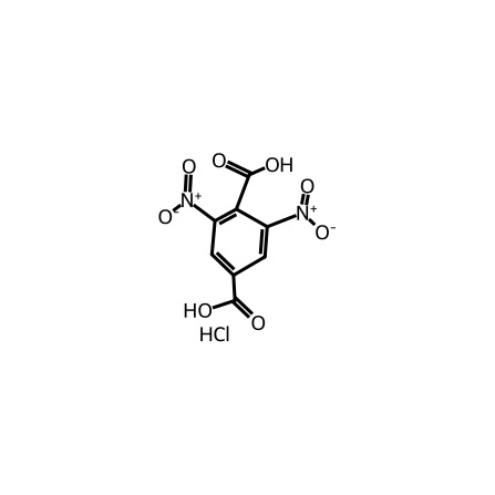 Cl.O=C(O)c1cc([N+](=O)[O-])c(C(=O)O)c([N+](=O)[O-])c1